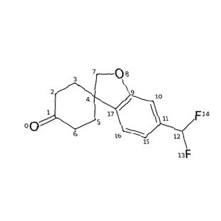 O=C1CCC2(CC1)COc1cc(C(F)F)ccc12